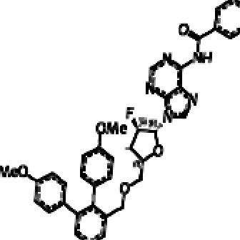 COc1ccc(-c2cccc(COC[C@H]3[CH][C@@H](F)[C@H](n4cnc5c(NC(=O)c6ccccc6)ncnc54)O3)c2-c2ccc(OC)cc2)cc1